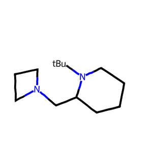 CC(C)(C)N1CCCCC1CN1CCC1